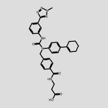 Cn1nnc(-c2cccc(NC(=O)N(Cc3ccc(C(=O)NCCC(=O)O)cc3)c3ccc(C4=CCCCC4)cc3)c2)n1